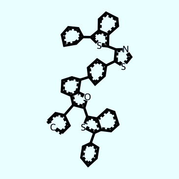 c1ccc(-c2sc(-c3ncsc3-c3ccc(-c4cccc5c(-c6ccccc6)c(-c6sc(-c7ccccc7)c7ccccc67)oc45)cc3)c3ccccc23)cc1